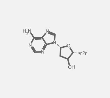 [CH2]CC[C@H]1O[C@@H](n2cnc3c(N)ncnc32)CC1O